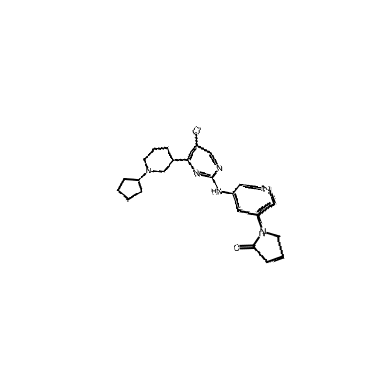 O=C1CCCN1c1cncc(Nc2ncc(Cl)c(C3CCCN(C4CCCC4)C3)n2)c1